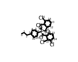 CCCc1ccc(P(=O)(C(=O)c2cccc(Cl)c2Cl)C(=O)c2cccc(Cl)c2Cl)cc1